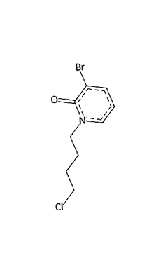 O=c1c(Br)cccn1CCCCCl